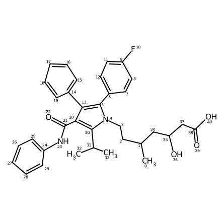 CC(CCn1c(-c2ccc(F)cc2)c(-c2ccccc2)c(C(=O)Nc2ccccc2)c1C(C)C)CC(O)CC(=O)O